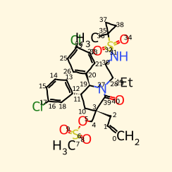 C=CC[C@@]1(COS(C)(=O)=O)C[C@H](c2cccc(Cl)c2)[C@@H](c2ccc(Cl)cc2)N([C@@H](CC)CNS(=O)(=O)C2(C)CC2)C1=O